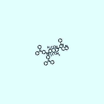 CC1(C)c2ccc(N(c3ccc(N(c4ccccc4)c4ccccc4)cc3)c3ccc(N(c4ccccc4)c4ccccc4)cc3)cc2C(C)(C)c2ccc(-c3cc(-c4ccccc4)nc4c3ccc3cccnc34)cc21